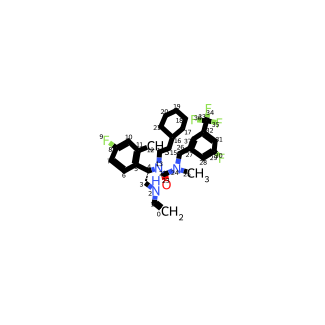 C=CNC[C@H](c1ccc(F)cc1C)N(CCC1CCCCC1)C(=O)N(C)Cc1cc(F)cc(C(F)(F)F)c1